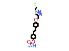 CNC(=O)Oc1ccc(/C=C/c2ccc(OCc3cn(CCF)nn3)cc2)cc1